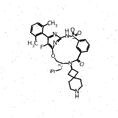 Cc1cccc(C)c1-c1nc2nc(c1F)OC[C@@H](CC(C)C)N(C1CC3(CCNCC3)C1)C(=O)c1cccc(c1)S(=O)(=O)N2